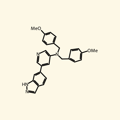 COc1ccc(CN(Cc2ccc(OC)cc2)c2cncc(-c3ccc4cn[nH]c4c3)c2)cc1